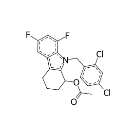 CC(=O)OC1CCCc2c1n(Cc1ccc(Cl)cc1Cl)c1c(F)cc(F)cc21